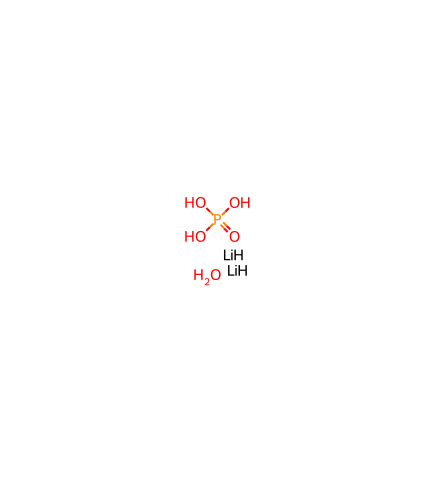 O.O=P(O)(O)O.[LiH].[LiH]